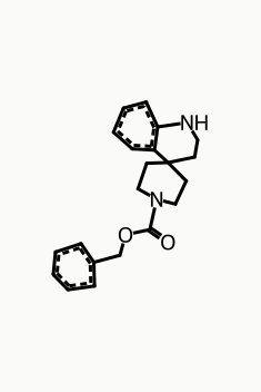 O=C(OCc1ccccc1)N1CCC2(CCNc3ccccc32)CC1